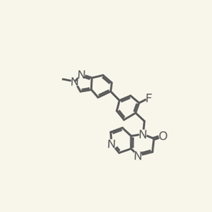 Cn1cc2cc(-c3ccc(Cn4c(=O)cnc5cnccc54)c(F)c3)ccc2n1